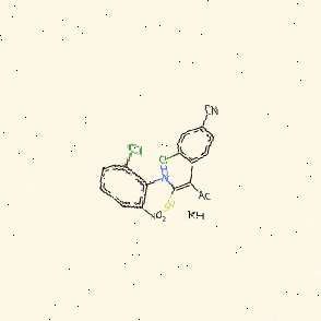 CC(=O)C(=C(S)Nc1c(Cl)cccc1[N+](=O)[O-])c1ccc(C#N)cc1Cl.[KH]